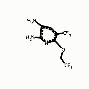 Nc1cc(C(F)(F)F)c(OCC(F)(F)F)nc1N